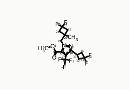 COC(=O)c1c(C(F)(F)F)c(C2CC(F)(F)C2)nn1CC1(C)CC(F)(F)C1